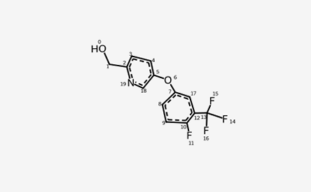 OCc1ccc(Oc2ccc(F)c(C(F)(F)F)c2)cn1